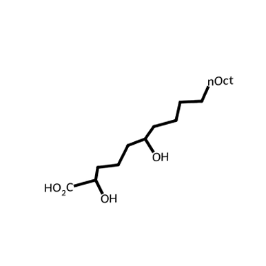 CCCCCCCCCCCCC(O)CCCC(O)C(=O)O